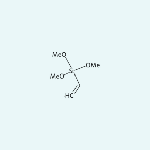 [CH]=C[Si](OC)(OC)OC